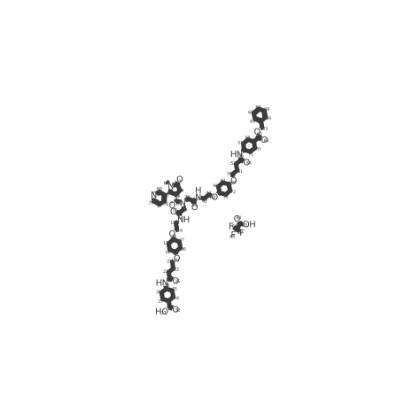 CN1C(=O)C[C@H](C(=O)N(CC(=O)NCCOC2CCC(OCCCC(=O)NC3CCC(C(=O)O)CC3)CC2)CC(=O)NCCOC2CCC(OCCCC(=O)NC3CCC(C(=O)OCc4ccccc4)CC3)CC2)[C@H]1c1cccnc1.O=C(O)C(F)(F)F